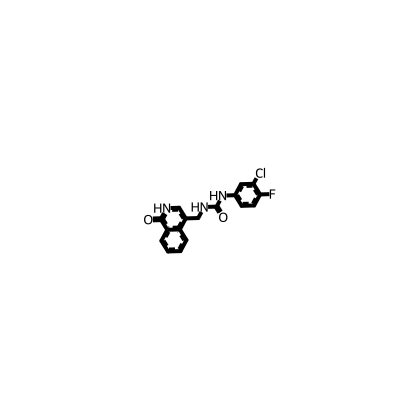 O=C(NCc1c[nH]c(=O)c2ccccc12)Nc1ccc(F)c(Cl)c1